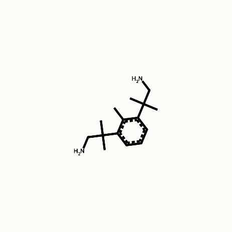 Cc1c(C(C)(C)CN)cccc1C(C)(C)CN